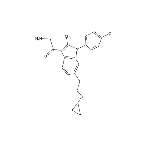 Cc1c(C(=O)CN)c2ccc(CCSC3CC3)cc2n1-c1ccc(Cl)cc1